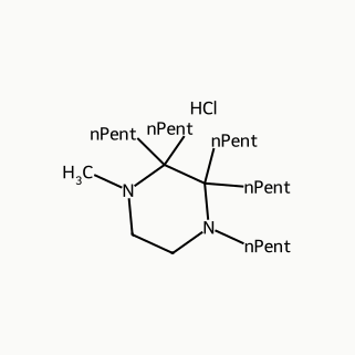 CCCCCN1CCN(C)C(CCCCC)(CCCCC)C1(CCCCC)CCCCC.Cl